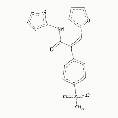 CS(=O)(=O)c1ccc(C(=Cc2ccco2)C(=O)Nc2nccs2)cc1